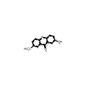 O=C(O)c1ccc2sc3ccc(O)cc3c(=O)c2c1